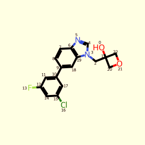 OC1(Cn2cnc3ccc(-c4cc(F)cc(Cl)c4)cc32)COC1